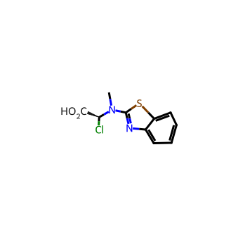 CN(c1nc2ccccc2s1)[C@@H](Cl)C(=O)O